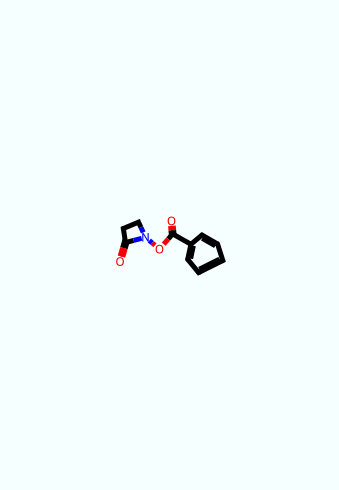 O=C(ON1CCC1=O)c1ccccc1